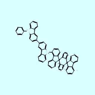 c1ccc(-n2c3ccccc3c3cc(-c4ccc5c(c4)c4ccccc4n5-c4cccc5c4-c4ccccc4C54c5ccccc5C5(c6ccccc6-c6ccccc65)c5ccccc54)ccc32)cc1